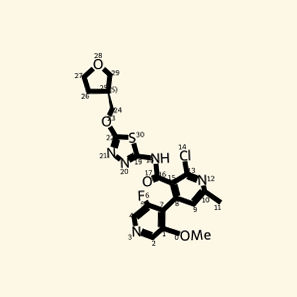 COc1cncc(F)c1-c1cc(C)nc(Cl)c1C(=O)Nc1nnc(OC[C@H]2CCOC2)s1